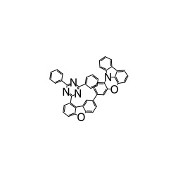 c1ccc(-c2nc(-c3ccccc3)nc(-c3cccc4oc5ccc(-c6ccc7c(c6)Oc6cccc8c9ccccc9n-7c68)cc5c34)n2)cc1